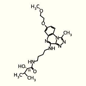 COCCOc1ccc2c(c1)nc(NCCCCNC(=O)[C@@H](O)C(C)C)c1nnc(C)n12